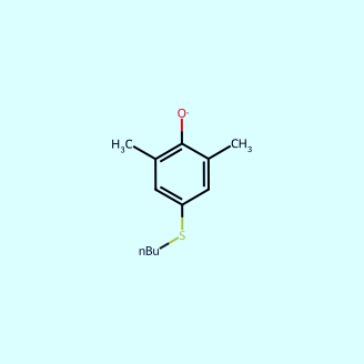 CCCCSc1cc(C)c([O])c(C)c1